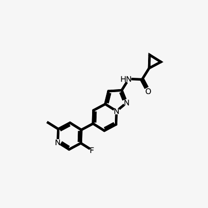 Cc1cc(-c2ccn3nc(NC(=O)C4CC4)cc3c2)c(F)cn1